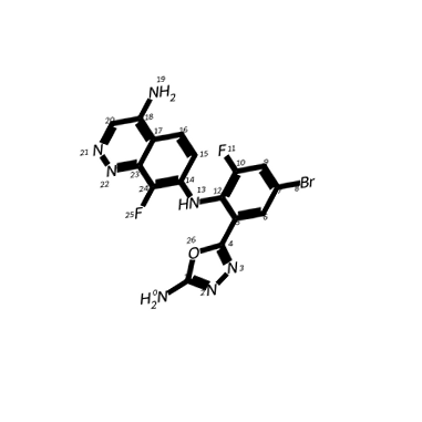 Nc1nnc(-c2cc(Br)cc(F)c2Nc2ccc3c(N)cnnc3c2F)o1